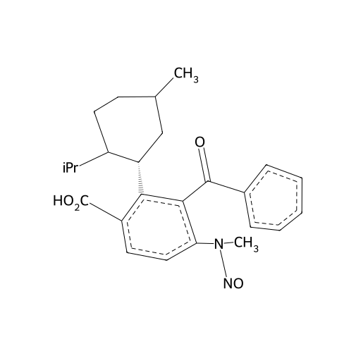 CC1CCC(C(C)C)[C@@H](c2c(C(=O)O)ccc(N(C)N=O)c2C(=O)c2ccccc2)C1